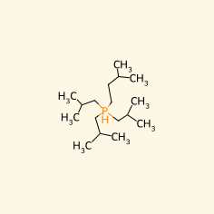 CC(C)CC[PH](CC(C)C)(CC(C)C)CC(C)C